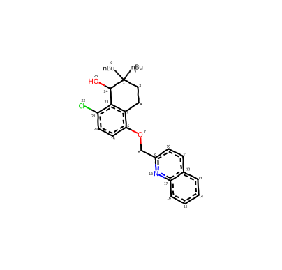 CCCCC1(CCCC)CCc2c(OCc3ccc4ccccc4n3)ccc(Cl)c2C1O